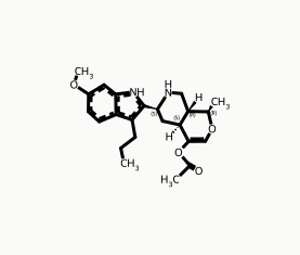 CCCc1c([C@@H]2C[C@@H]3C(OC(C)=O)=CO[C@H](C)[C@H]3CN2)[nH]c2cc(OC)ccc12